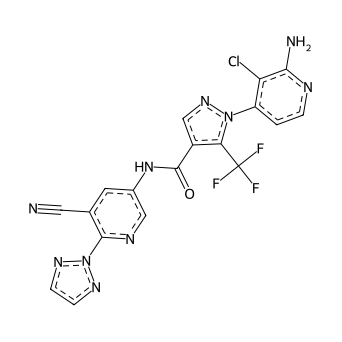 N#Cc1cc(NC(=O)c2cnn(-c3ccnc(N)c3Cl)c2C(F)(F)F)cnc1-n1nccn1